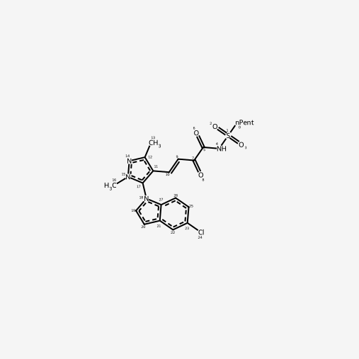 CCCCCS(=O)(=O)NC(=O)C(=O)C=Cc1c(C)nn(C)c1-n1ccc2cc(Cl)ccc21